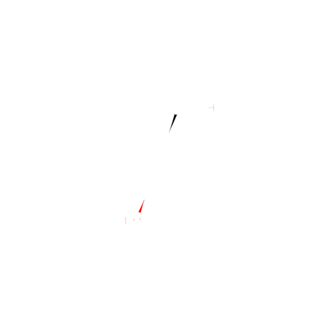 COC(O)[C@H]1CC[C@@H](O)CC1